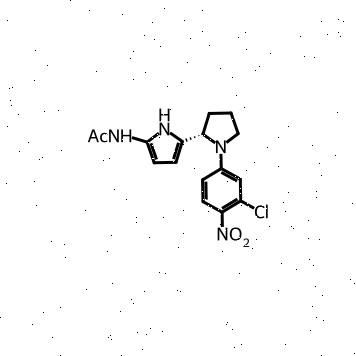 CC(=O)Nc1ccc([C@@H]2CCCN2c2ccc([N+](=O)[O-])c(Cl)c2)[nH]1